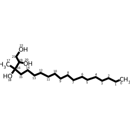 CCCCCCCCCCCCCCCCC(C)(O)C(O)CO